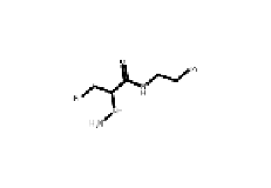 CC(C)CCNC(=O)C(CC(C)C)NN